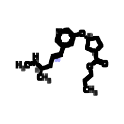 CCCOC(=O)N1CC[C@@H](Oc2cncc(/C=C/C[C@H](C)NC)c2)C1